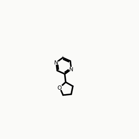 [c]1cnc(C2CCCO2)cn1